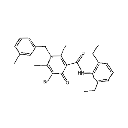 CCc1cccc(CC)c1NC(=O)c1c(C)n(Cc2cccc(C)c2)c(C)c(Br)c1=O